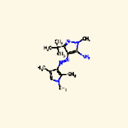 Cc1cn(C)c(C)c1/N=N/c1c(C(C)(C)C)nn(C)c1N